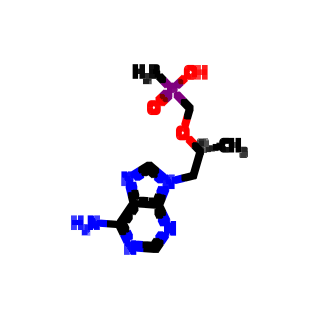 BP(=O)(O)CO[C@H](C)Cn1cnc2c(N)ncnc21